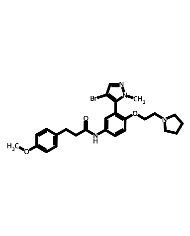 COc1ccc(CCC(=O)Nc2ccc(OCCN3CCCC3)c(-c3c(Br)cnn3C)c2)cc1